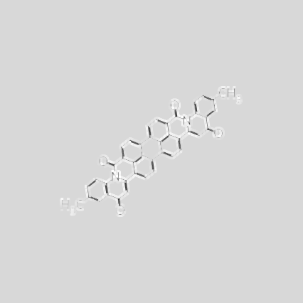 Cc1ccc2c(c1)c(=O)cc1c3ccc4c5ccc6c7c(ccc(c8ccc(c(=O)n21)c3c84)c57)c(=O)n1c2ccc(C)cc2c(=O)cc61